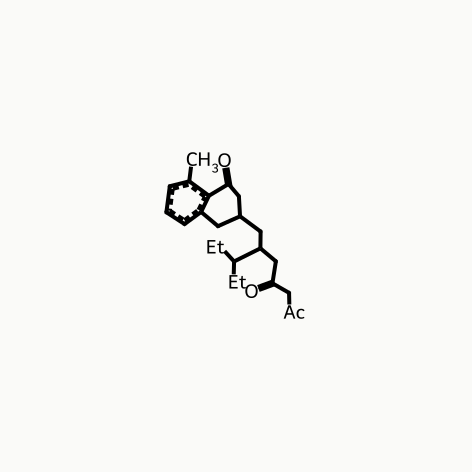 CCC(CC)C(CC(=O)CC(C)=O)CC1CC(=O)c2c(C)cccc2C1